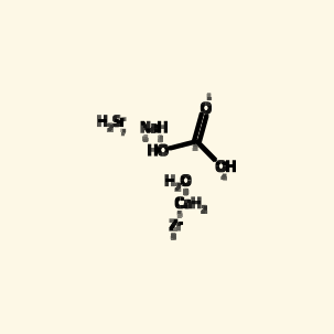 O.O=C(O)O.[CaH2].[NaH].[SrH2].[Zr]